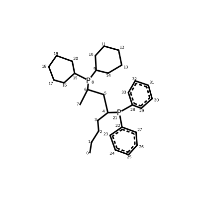 CCCCC(CC(C)P(C1CCCCC1)C1CCCCC1)P(c1ccccc1)c1ccccc1